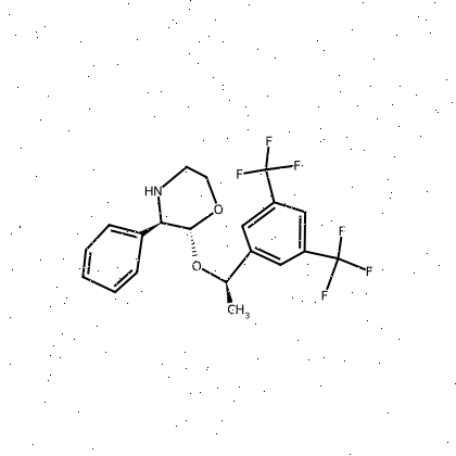 C[C@@H](O[C@H]1OCCN[C@@H]1c1ccccc1)c1cc(C(F)(F)F)cc(C(F)(F)F)c1